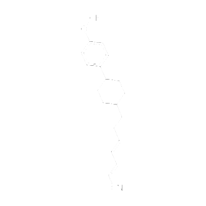 N#CC=CC=CCCC1CCC(c2ccc(OC(F)(F)F)cc2)CC1